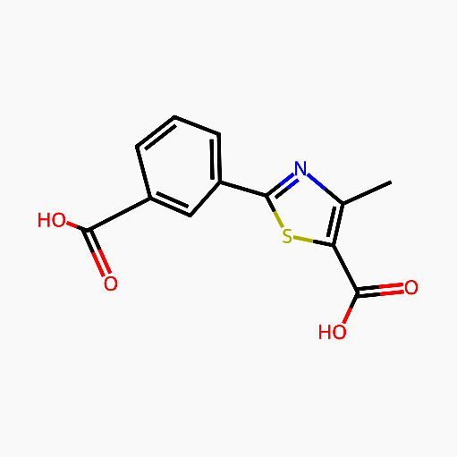 Cc1nc(-c2cccc(C(=O)O)c2)sc1C(=O)O